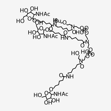 CCC(C)COCCN(CCOP(=O)(O)OCCN(CCOP(=O)(O)OCCN(CCO)C(=O)CCCCCNC(=O)CCCCCOC1OC(CO)C(O)C(O)C1NC(C)=O)C(=O)CCCCCNC(=O)CCCCCOC1OC(CO)C(O)C(O)C1NC(C)=O)C(=O)CCCCCNC(=O)CCCCCOC1OC(CO)C(O)C(O)C1NC(C)=O